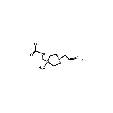 C=CCN1CC[Si](C)(CNC(=O)O)CC1